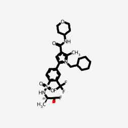 Cc1c(C(=O)NC2CCOCC2)cc(-c2ccc(S(=O)(=O)N[C@H](C)C(F)(F)F)c(C(F)(F)F)c2)n1CC1CCCCC1